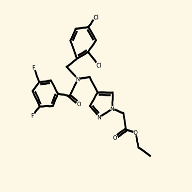 CCOC(=O)Cn1cc(CN(Cc2ccc(Cl)cc2Cl)C(=O)c2cc(F)cc(F)c2)cn1